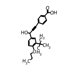 CCCOc1ccc(C(O)C#Cc2ccc(C(=O)O)cc2)cc1C(C)(C)C